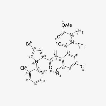 COC(=O)N(C)N(C)C(=O)c1cc(Cl)cc(C)c1NC(=O)c1cc(Br)cn1-c1ncccc1Cl